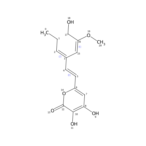 CC/C=C(/C=C/c1cc(O)c(O)c(=O)o1)\C=C(/CO)OC